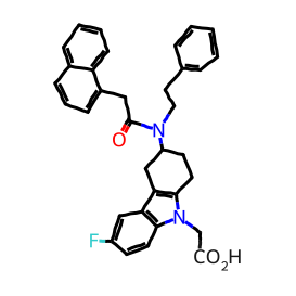 O=C(O)Cn1c2c(c3cc(F)ccc31)CC(N(CCc1ccccc1)C(=O)Cc1cccc3ccccc13)CC2